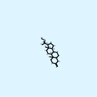 C=C1CCC2(C)C(CCC3C2CCC2(C)C(/C(C)=N/C)CCC32)C1